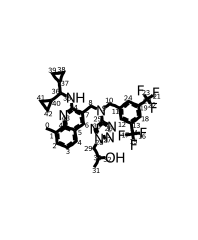 Cc1cccc2cc(CN(Cc3cc(C(F)(F)F)cc(C(F)(F)F)c3)c3nnn(CC(C)O)n3)c(NC(C3CC3)C3CC3)nc12